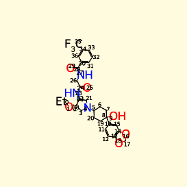 CCO[C@H]1CN(C2CCC(O)(c3ccc4c(c3)OCO4)CC2)C[C@@H]1NC(=O)CNC(=O)c1cccc(C(F)(F)F)c1